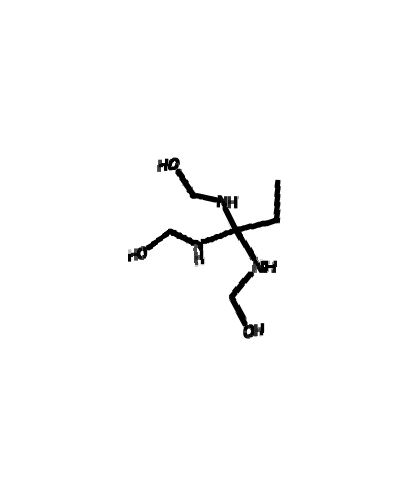 CCC(NCO)(NCO)NCO